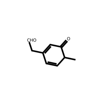 CC1C=CC(CC=O)=CC1=O